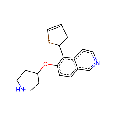 C1=CSC(c2c(OC3CCNCC3)ccc3cnccc23)C1